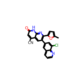 Cc1ccc(-c2nc3[nH]c(=O)cc(C#N)c3cc2-c2cc(Cl)c3ncccc3c2)o1